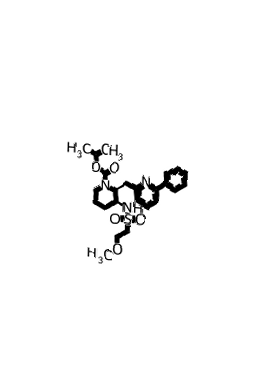 COCCS(=O)(=O)N[C@H]1CCCN(C(=O)OC(C)C)[C@H]1Cc1cccc(-c2ccccc2)n1